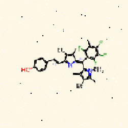 Bn1c(C)c(CC)c(C)c1/C(=C1N=C(/C=C/c2ccc(O)cc2)C(CC)=C\1C)c1c(F)c(C)c(F)c(F)c1F